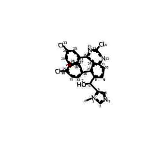 Cn1cncc1C(O)c1ccc2nc(Cl)nc(-c3cccc(Cl)c3)c2c1-c1ccc(Cl)cc1